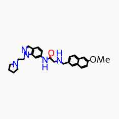 COc1ccc2cc(CNCC(=O)Nc3ccc4cnn(CCN5CCCC5)c4c3)ccc2c1